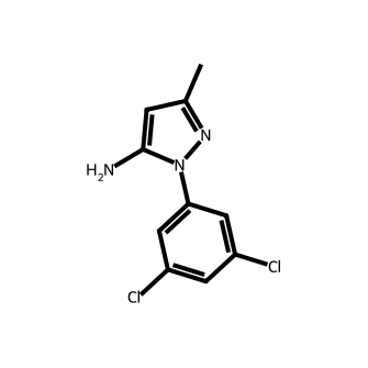 Cc1cc(N)n(-c2cc(Cl)cc(Cl)c2)n1